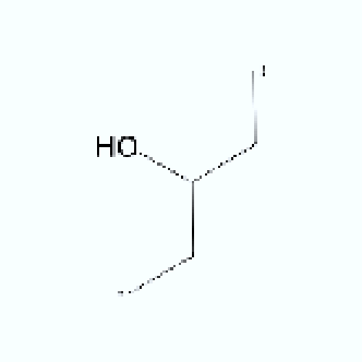 [CH]CC(O)C[CH2]